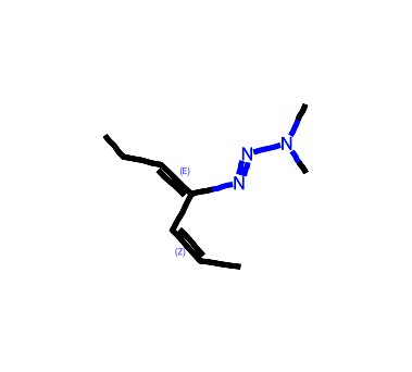 C/C=C\C(=C/CC)N=NN(C)C